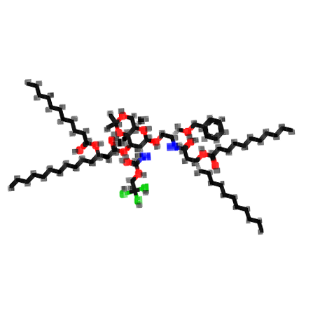 CCCCCCCCCCC[C@H](CC(=O)N[C@@H](COCc1ccccc1)CO[C@@H]1O[C@@H]2COC(C)(C)O[C@H]2[C@H](OC(=O)C[C@@H](CCCCCCCCCCC)OC(=O)CCCCCCCCCC)[C@H]1NC(=O)OCC(Cl)(Cl)Cl)OC(=O)CCCCCCCCCC